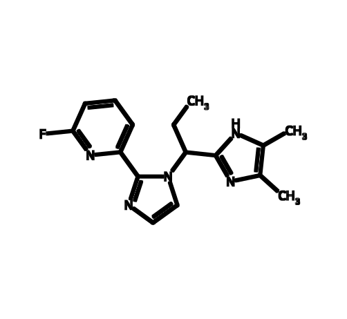 CCC(c1nc(C)c(C)[nH]1)n1ccnc1-c1cccc(F)n1